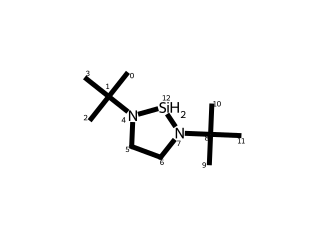 CC(C)(C)N1CCN(C(C)(C)C)[SiH2]1